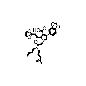 CCCCN(CCCN(C)C)C(=O)CN1C[C@H](c2ccc3c(c2)OCO3)[C@@H](C(=O)O)[C@@H]1CCC1OCCO1